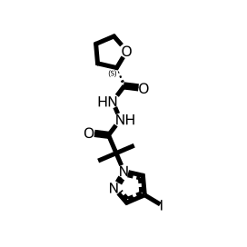 CC(C)(C(=O)NNC(=O)[C@@H]1CCCO1)n1cc(I)cn1